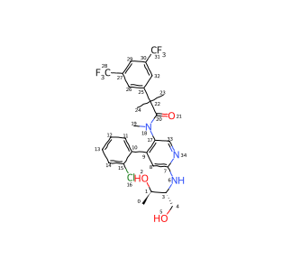 C[C@@H](O)[C@@H](CO)Nc1cc(-c2ccccc2Cl)c(N(C)C(=O)C(C)(C)c2cc(C(F)(F)F)cc(C(F)(F)F)c2)cn1